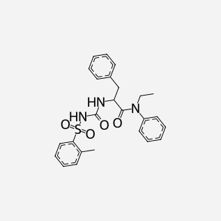 CCN(C(=O)C(Cc1ccccc1)NC(=O)NS(=O)(=O)c1ccccc1C)c1ccccc1